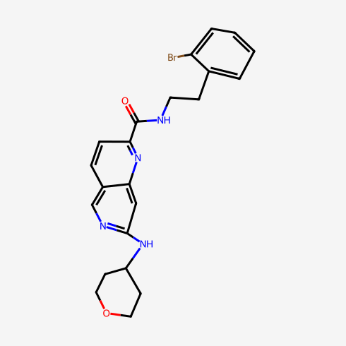 O=C(NCCc1ccccc1Br)c1ccc2cnc(NC3CCOCC3)cc2n1